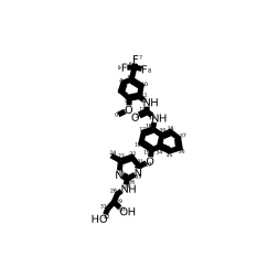 COc1ccc(C(F)(F)F)cc1NC(=O)Nc1ccc(Oc2cc(C)nc(NCC(O)CO)n2)c2ccccc12